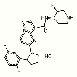 Cl.O=C(N[C@@H]1CCNC[C@@H]1F)c1cnn2ccc(N3CCCC3c3cc(F)ccc3F)nc12